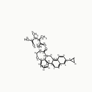 COc1ccc2cc(C3CC3)ccc2c1CN1C(=O)[C@@H](NC(=O)[C@H](C)N(C)C(=O)O)COc2ccccc21